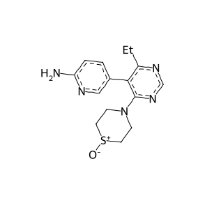 CCc1ncnc(N2CC[S+]([O-])CC2)c1-c1ccc(N)nc1